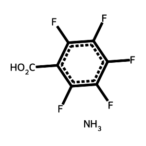 N.O=C(O)c1c(F)c(F)c(F)c(F)c1F